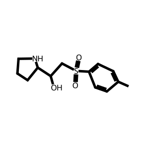 Cc1ccc(S(=O)(=O)CC(O)C2CCCN2)cc1